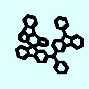 c1ccc(N(c2ccc3c(c2)C2(c4ccccc4-3)c3ccccc3-n3c4ccccc4c4cccc2c43)c2ccc3c(c2)c2ccccc2n3-c2ccccc2)cc1